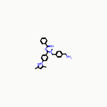 Cc1cc(C)n(-c2ccc(/C(=N/C(=N)c3ccccc3)N(C)Cc3ccc(CN)cc3)cc2)n1